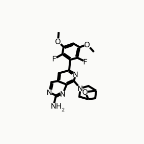 COc1cc(OC)c(F)c(-c2cc3cnc(N)nc3c(N3CC4CC(C3)O4)n2)c1F